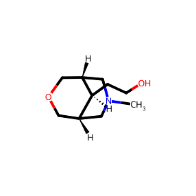 CN1C[C@H]2COC[C@@H](C1)[C@@H]2CCO